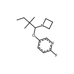 CCC(C)(C)C(Oc1ccc(F)nc1)N1CCC1